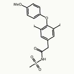 COc1ccc(Oc2c(I)cc(CC(=O)NS(C)(=O)=O)cc2I)cc1